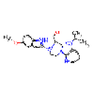 COc1ccc2[nH]c(N3CCN(c4ncccc4NC(C)C)CC3C=O)cc2c1